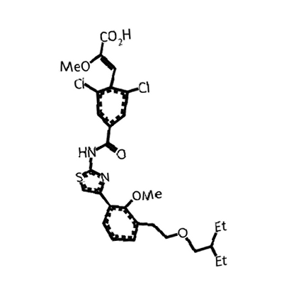 CCC(CC)COCCc1cccc(-c2csc(NC(=O)c3cc(Cl)c(/C=C(\OC)C(=O)O)c(Cl)c3)n2)c1OC